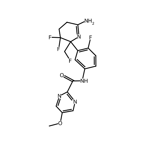 COc1cnc(C(=O)Nc2ccc(F)c(C3(CF)N=C(N)CCC3(F)F)c2)nc1